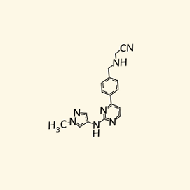 Cn1cc(Nc2nccc(-c3ccc(CNCC#N)cc3)n2)cn1